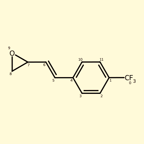 FC(F)(F)c1ccc(/C=C/C2CO2)cc1